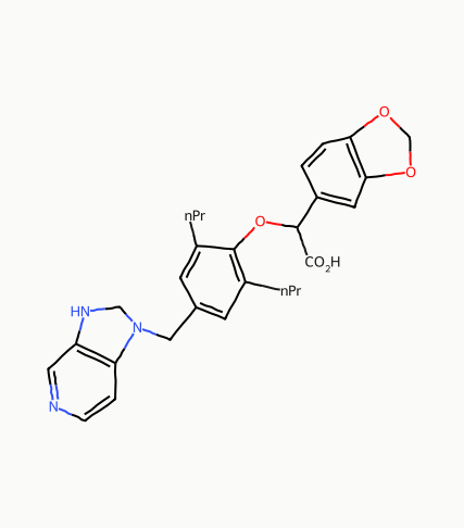 CCCc1cc(CN2CNc3cnccc32)cc(CCC)c1OC(C(=O)O)c1ccc2c(c1)OCO2